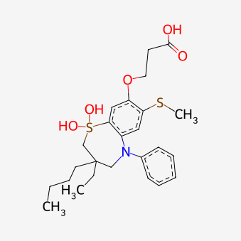 CCCCC1(CC)CN(c2ccccc2)c2cc(SC)c(OCCC(=O)O)cc2S(O)(O)C1